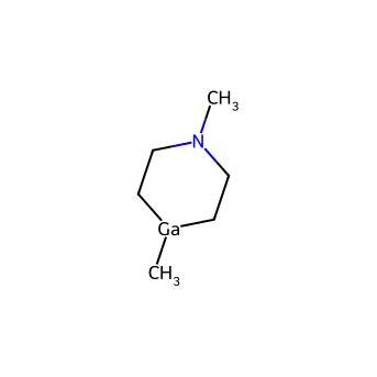 CN1C[CH2][Ga]([CH3])[CH2]C1